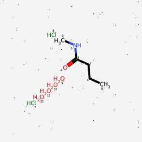 CCCC(=O)NC.Cl.Cl.O.O.O.O